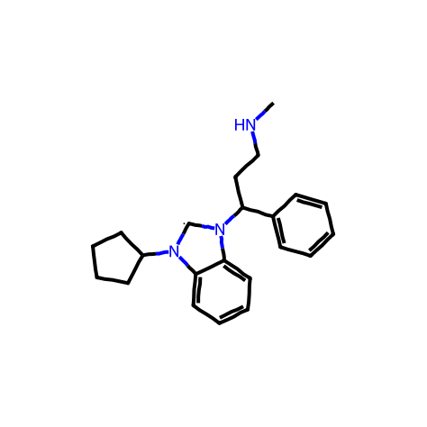 CNCCC(c1ccccc1)N1[CH]N(C2CCCC2)c2ccccc21